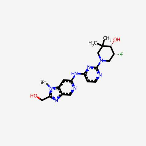 CC(C)n1c(CO)nc2cnc(Nc3ccnc(N4C[C@@H](F)[C@@H](O)C(C)(C)C4)n3)cc21